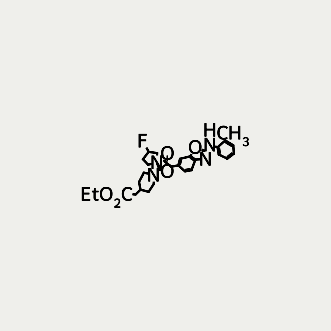 CCOC(=O)CC1CCN(C(=O)[N+]2(C(=O)Cc3ccc4nc(Nc5ccccc5C)oc4c3)CCC(F)C2)CC1